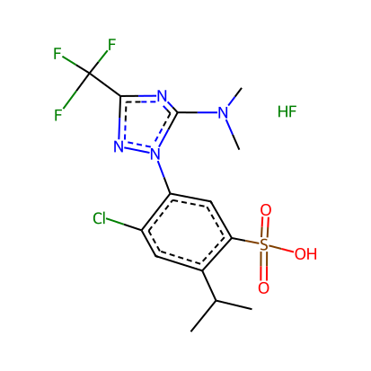 CC(C)c1cc(Cl)c(-n2nc(C(F)(F)F)nc2N(C)C)cc1S(=O)(=O)O.F